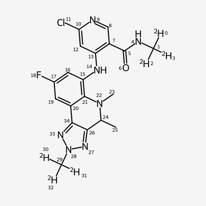 [2H]C([2H])([2H])NC(=O)c1cnc(Cl)cc1Nc1cc(F)cc2c1N(C)C(C)c1nn(C([2H])([2H])[2H])nc1-2